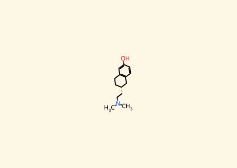 CN(C)CC[C@@H]1CCc2cc(O)ccc2C1